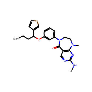 CCNc1ncc2c(n1)N(C)CCN(c1cccc(OC(CCNC)c3ccsc3)c1)C2=O